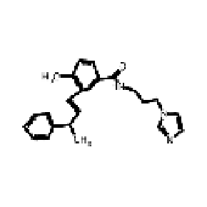 Cc1ccc(C(=O)NCCCn2ccnc2)cc1/C=C/C(C)c1ccccc1